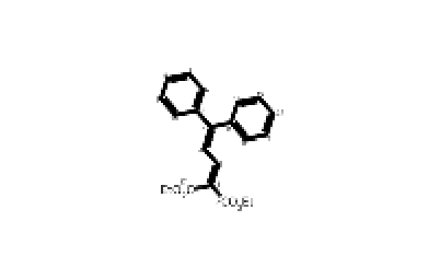 CCOC(=O)C(=CC=C(c1ccccc1)c1ccccc1)C(=O)OCC